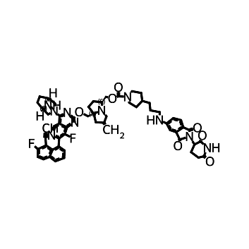 C#Cc1c(F)ccc2cccc(-c3ncc4c(N5C[C@H]6CC[C@@H](C5)N6)nc(OC[C@@]56CC[C@@H](COC(=O)N7CCC(CCCNc8ccc9c(c8)C(=O)N(C8CCC(=O)NC8=O)C9=O)CC7)N5CC(=C)C6)nc4c3F)c12